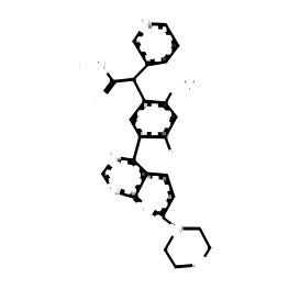 COc1cc(F)c(-c2ncnc3cc(N4CCOCC4)ccc23)cc1C(C(N)=O)c1cccnc1